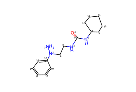 NN(CCNC(=O)NC1CCCCC1)c1ccccc1